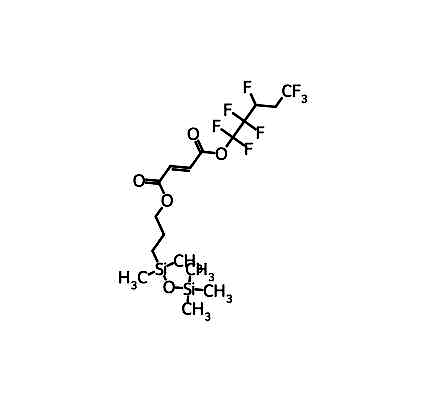 C[Si](C)(C)O[Si](C)(C)CCCOC(=O)C=CC(=O)OC(F)(F)C(F)(F)C(F)CC(F)(F)F